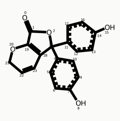 O=C1OC(c2ccc(O)cc2)(c2ccc(O)cc2)C2=C1OCC=C2